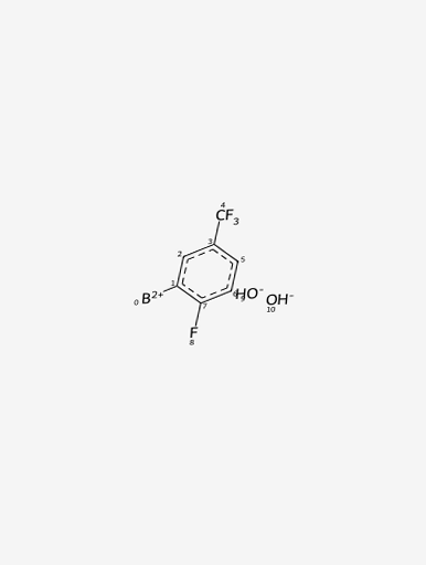 [B+2]c1cc(C(F)(F)F)ccc1F.[OH-].[OH-]